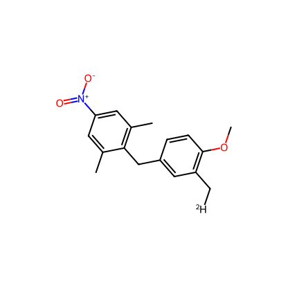 [2H]Cc1cc(Cc2c(C)cc([N+](=O)[O-])cc2C)ccc1OC